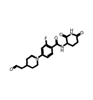 O=CCC1CCN(c2ccc(C(=O)NC3CCC(=O)NC3=O)c(F)c2)CC1